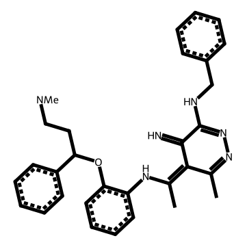 CNCCC(Oc1ccccc1N/C(C)=C1\C(=N)C(NCc2ccccc2)=NN=C1C)c1ccccc1